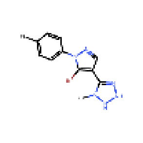 CCc1ccc(-n2ncc(C3=NNNN3CC)c2Br)cc1